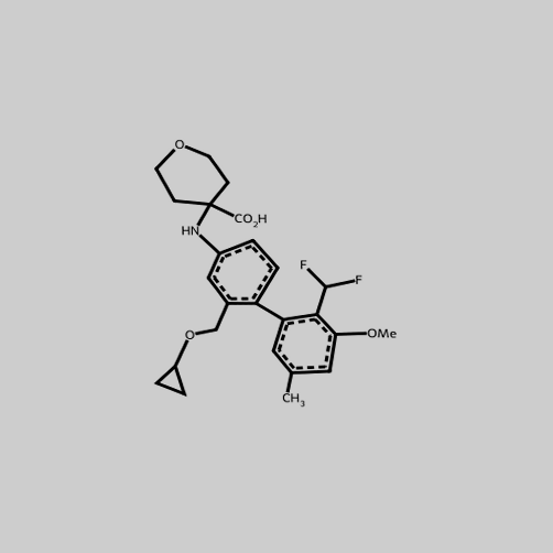 COc1cc(C)cc(-c2ccc(NC3(C(=O)O)CCOCC3)cc2COC2CC2)c1C(F)F